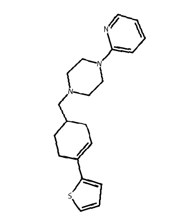 C1=C(c2cccs2)CCC(CN2CCN(c3ccccn3)CC2)C1